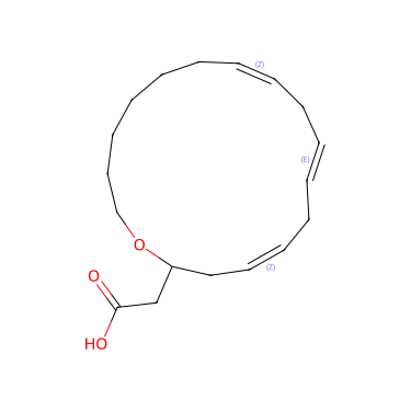 O=C(O)CC1C/C=C\C/C=C/C/C=C\CCCCCCO1